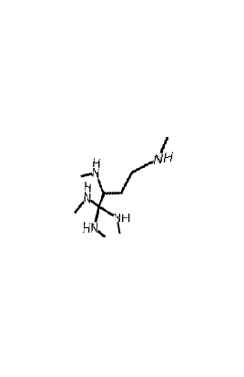 CNCCC(NC)C(NC)(NC)NC